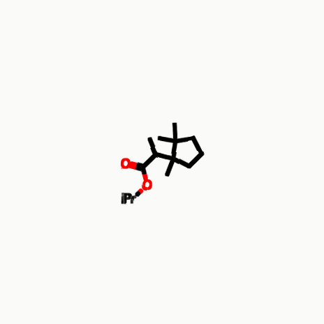 CC(C)OC(=O)C(C)C1(C)CCCC1(C)C